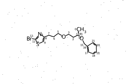 C[C@H](CCOCCCc1csc(Br)n1)OCc1ccccc1